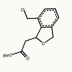 COC(=O)CC1OCc2cccc(CCl)c21